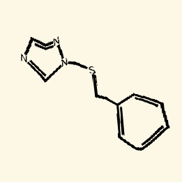 c1ccc(CSn2cncn2)cc1